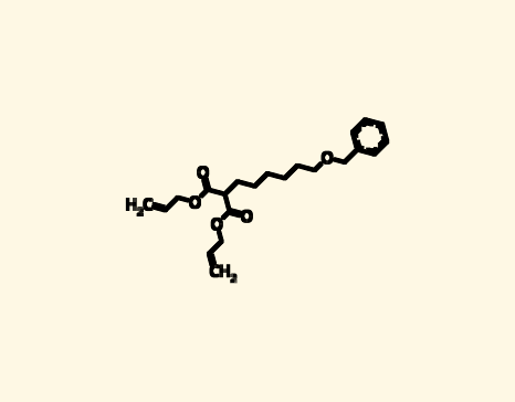 C=CCOC(=O)C(CCCCCCOCc1ccccc1)C(=O)OCC=C